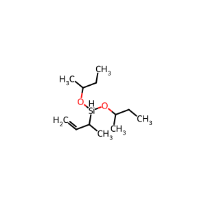 C=CC(C)[SiH](OC(C)CC)OC(C)CC